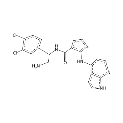 NCC(NC(=O)c1ccsc1Nc1ccnc2[nH]ccc12)c1ccc(Cl)c(Cl)c1